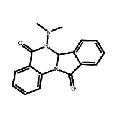 CN(C)N1C(=O)c2ccccc2N2C(=O)c3ccccc3C21